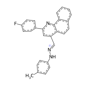 Cc1ccc(N/N=C/c2cc(-c3ccc(F)cc3)nc3c2ccc2ccccc23)cc1